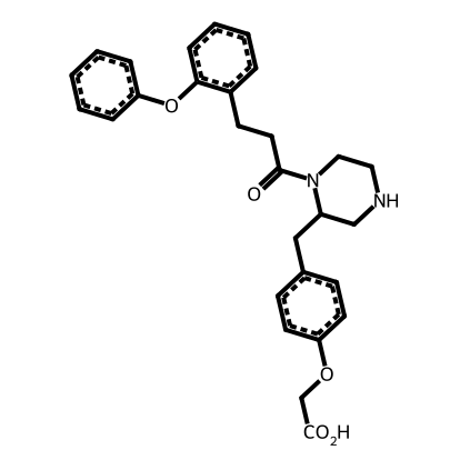 O=C(O)COc1ccc(CC2CNCCN2C(=O)CCc2ccccc2Oc2ccccc2)cc1